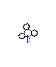 c1ccc2c(c1)Nc1ccccc1-c1ccccc1-2